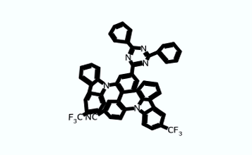 N#Cc1ccc(-n2c3ccccc3c3cc(C(F)(F)F)ccc32)c(-c2ccc(-c3nc(-c4ccccc4)nc(-c4ccccc4)n3)cc2-n2c3ccccc3c3cc(C(F)(F)F)ccc32)c1